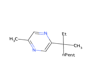 CCCCCC(C)(CC)c1cnc(C)cn1